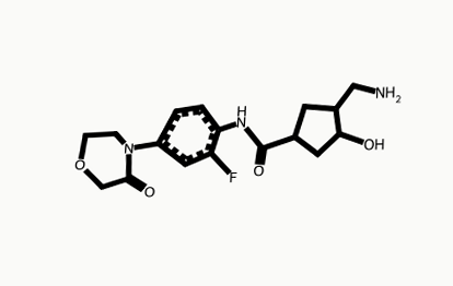 NCC1CC(C(=O)Nc2ccc(N3CCOCC3=O)cc2F)CC1O